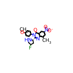 COc1ccc(-n2c([C@@H]3C[C@@H](F)CN3)nc3c(C)cc([N+](=O)[O-])cc3c2=O)cc1